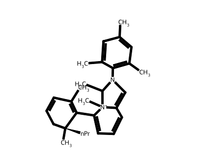 CCC[C@@]1(C)CC=CC(C)=C1C1=CC=CC2=CN(c3c(C)cc(C)cc3C)C(C)[N+]21C